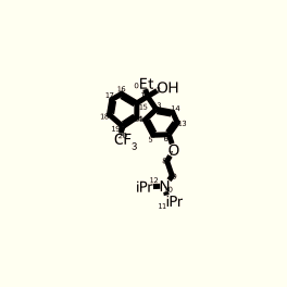 CCC(O)(c1ccc(OCCN(C(C)C)C(C)C)cc1)c1cccc(C(F)(F)F)c1